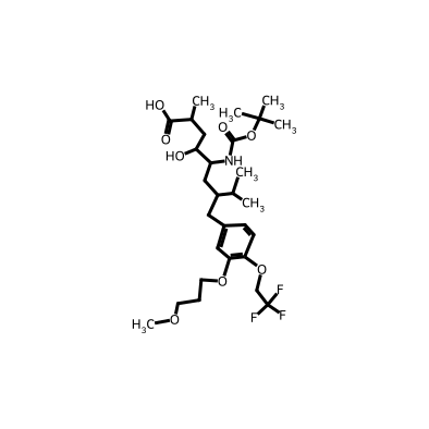 COCCCOc1cc(CC(CC(NC(=O)OC(C)(C)C)C(O)CC(C)C(=O)O)C(C)C)ccc1OCC(F)(F)F